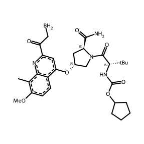 BCC(=O)c1cc(O[C@@H]2C[C@@H](C(N)=O)N(C(=O)[C@@H](NC(=O)OC3CCCC3)C(C)(C)C)C2)c2ccc(OC)c(C)c2n1